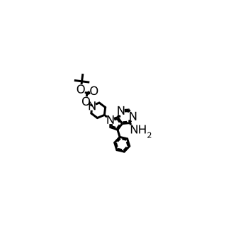 CC(C)(C)OC(=O)ON1CCC(n2cc(-c3ccccc3)c3c(N)ncnc32)CC1